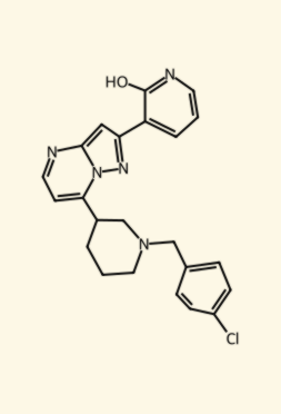 Oc1ncccc1-c1cc2nccc(C3CCCN(Cc4ccc(Cl)cc4)C3)n2n1